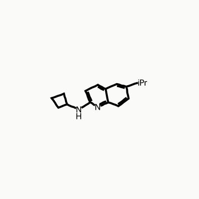 CC(C)c1ccc2nc(NC3CCC3)ccc2c1